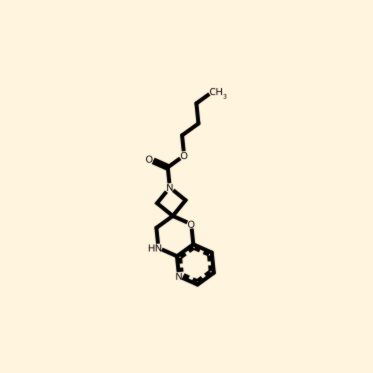 CCCCOC(=O)N1CC2(CNc3ncccc3O2)C1